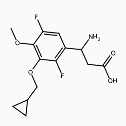 COc1c(F)cc(C(N)CC(=O)O)c(F)c1OCC1CC1